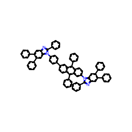 c1ccc(-c2cc3nc(-c4ccccc4)n(-c4ccc(-c5ccc6c(-c7ccccc7)c7cc(-n8c(-c9ccccc9)nc9cc(-c%10ccccc%10)c(-c%10ccccc%10)cc98)ccc7c(-c7ccccc7)c6c5)cc4)c3cc2-c2ccccc2)cc1